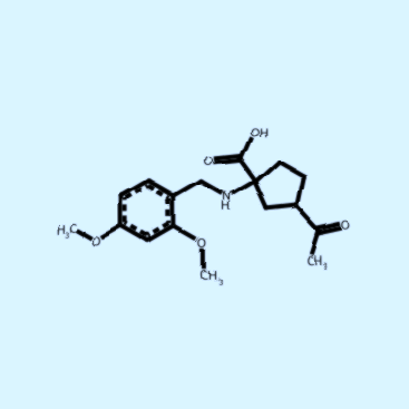 COc1ccc(CNC2(C(=O)O)CCC(C(C)=O)C2)c(OC)c1